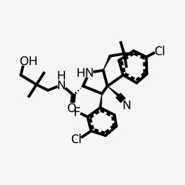 CC(C)(C)C[C@@H]1N[C@@H](C(=O)NCC(C)(C)CO)[C@H](c2cccc(Cl)c2F)[C@@]1(C#N)c1ccc(Cl)cc1